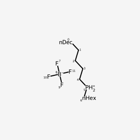 CCCCCCCCCCCCCC[PH2+]CCCCCC.F[B-](F)(F)F